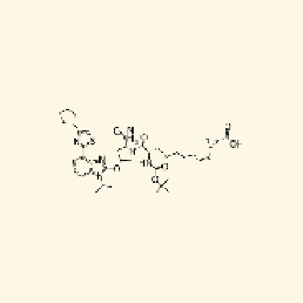 CC(C)n1c(O[C@@H]2C[C@@H](C(N)=O)N(C(=O)[C@H](CCCCC/C=C\[C@@H]3C[C@@H]3C(=O)O)NC(=O)OC(C)(C)C)C2)nc2c(-c3nc(C4CCCC4)cs3)cccc21